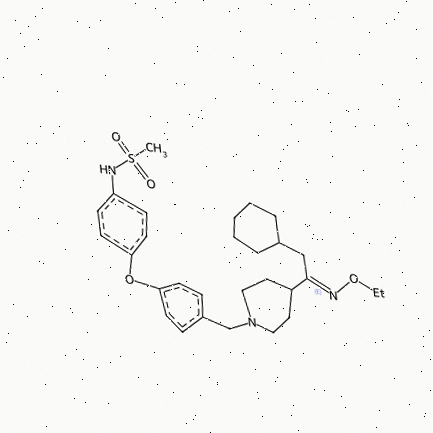 CCO/N=C(\CC1CCCCC1)C1CCN(Cc2ccc(Oc3ccc(NS(C)(=O)=O)cc3)cc2)CC1